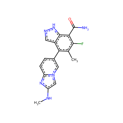 CNc1cn2cc(-c3c(C)c(F)c(C(N)=O)c4[nH]ncc34)ccc2n1